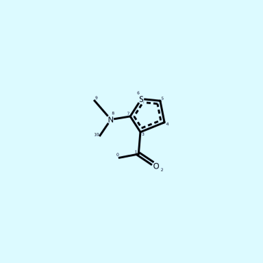 CC(=O)c1ccsc1N(C)C